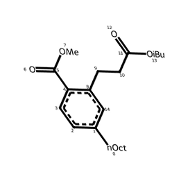 CCCCCCCCc1ccc(C(=O)OC)c(CCC(=O)OCC(C)C)c1